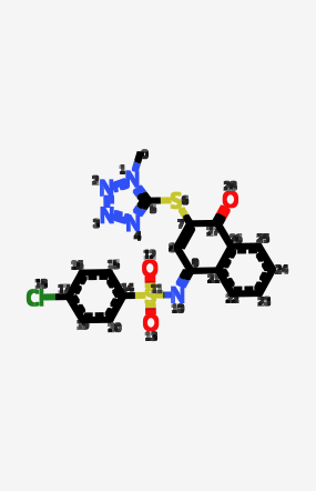 Cn1nnnc1SC1=CC(=NS(=O)(=O)c2ccc(Cl)cc2)c2ccccc2C1=O